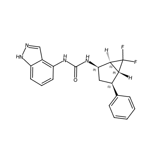 O=C(Nc1cccc2[nH]ncc12)N[C@@H]1C[C@H](c2ccccc2)[C@@H]2[C@@H]1C2(F)F